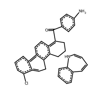 C1=CNc2ccccc2C=C1.Nc1ccc(C(=O)C2=c3ccc4c(c3CCC2)CC=c2c(Cl)cccc2=4)cc1